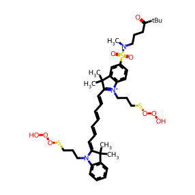 CN(CCCC(=O)C(C)(C)C)S(=O)(=O)c1ccc2c(c1)C(C)(C)C(/C=C/C=C/C=C/C=C1/N(CCCSOOO)c3ccccc3C1(C)C)=[N+]2CCCSOOO